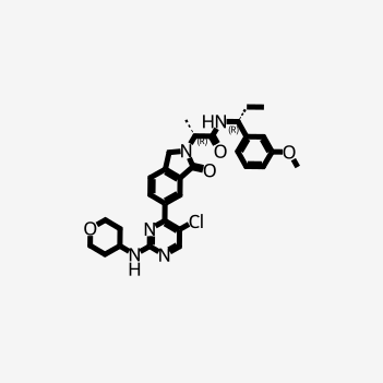 CC[C@@H](NC(=O)[C@@H](C)N1Cc2ccc(-c3nc(NC4CCOCC4)ncc3Cl)cc2C1=O)c1cccc(OC)c1